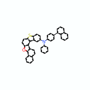 c1ccc(N(c2ccc(-c3cccc4ccccc34)cc2)c2ccc3sc4ccc5oc6c7ccccc7ccc6c5c4c3c2)cc1